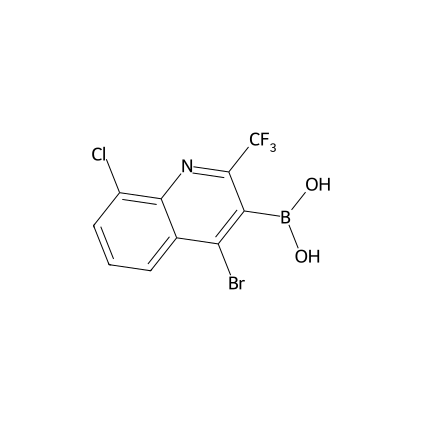 OB(O)c1c(C(F)(F)F)nc2c(Cl)cccc2c1Br